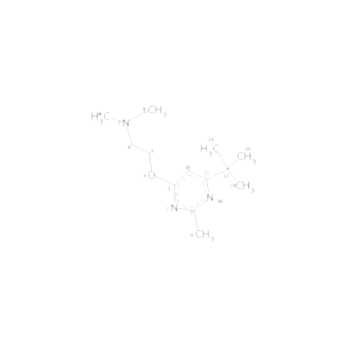 Cc1nc(OCCN(C)C)cc(C(C)(C)C)n1